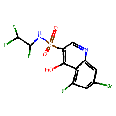 O=S(=O)(NC(F)C(F)F)c1cnc2cc(Br)cc(F)c2c1O